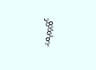 C=CC(=O)N1CCC(N2Cc3cnc(Nc4cccc(OC(F)F)c4)nc3N(C)C2=O)c2ccccc21